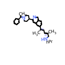 C=C(c1ccccc1)N1CCC(c2cc3cc(/C(C)=C/C=C(\C)CNCCC)ccc3cn2)CC1